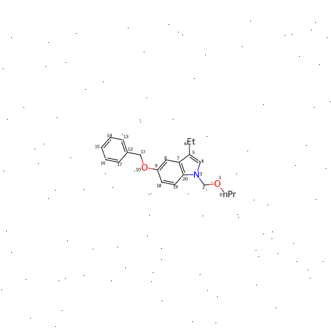 CCCOCn1cc(CC)c2cc(OCc3ccccc3)ccc21